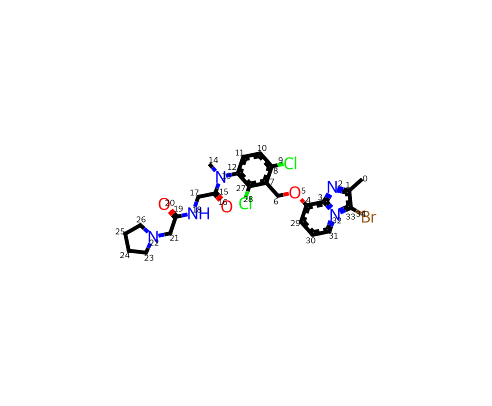 Cc1nc2c(OCc3c(Cl)ccc(N(C)C(=O)CNC(=O)CN4CCCC4)c3Cl)cccn2c1Br